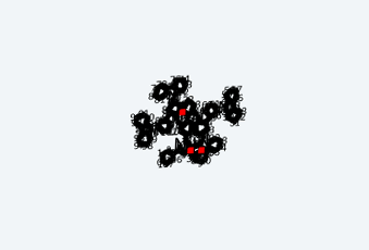 c1ccc(-c2cc(-c3ccccc3)nc(-c3ccc(-c4ccccc4-n4c5ccc(-n6c7ccccc7c7ccccc76)cc5c5cc(-n6c7ccccc7c7ccccc76)ccc54)c(-n4c5ccc(-n6c7ccccc7c7ccccc76)cc5c5cc(-n6c7ccccc7c7ccccc76)ccc54)c3)n2)cc1